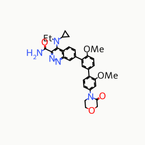 CCN(c1c(C(N)=O)nnc2cc(-c3cc(-c4ccc(N5CCOCC5=O)cc4OC)ccc3OC)ccc12)C1CC1